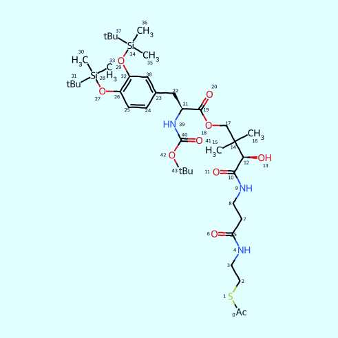 CC(=O)SCCNC(=O)CCNC(=O)[C@H](O)C(C)(C)COC(=O)[C@H](Cc1ccc(O[Si](C)(C)C(C)(C)C)c(O[Si](C)(C)C(C)(C)C)c1)NC(=O)OC(C)(C)C